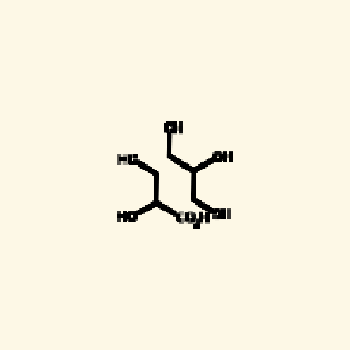 O=C(O)C(O)CO.OCC(O)CO